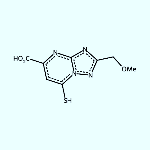 COCc1nc2nc(C(=O)O)cc(S)n2n1